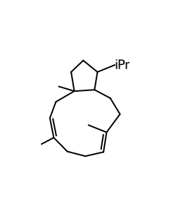 C/C1=C/CC2(C)CCC(C(C)C)C2CC/C(C)=C/CC1